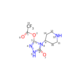 O=C(Oc1n[nH]c(=O)n1C1CCNCC1)C(F)(F)F